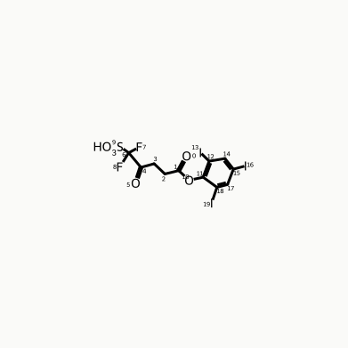 O=C(CCC(=O)C(F)(F)S(=O)(=O)O)Oc1c(I)cc(I)cc1I